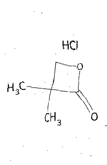 CC1(C)COC1=O.Cl